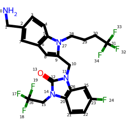 NCc1ccc2c(c1)cc(Cn1c(=O)n(CC(F)(F)F)c3ccc(F)cc31)n2CCCC(F)(F)F